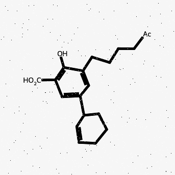 CC(=O)CCCCc1cc(C2C=CCCC2)cc(C(=O)O)c1O